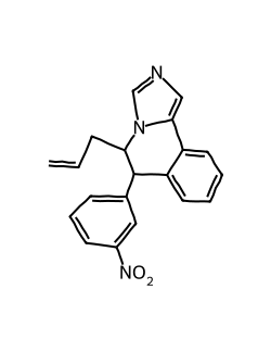 C=CCC1C(c2cccc([N+](=O)[O-])c2)c2ccccc2-c2cncn21